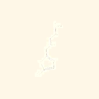 CCc1cnc(CNCCOC)s1